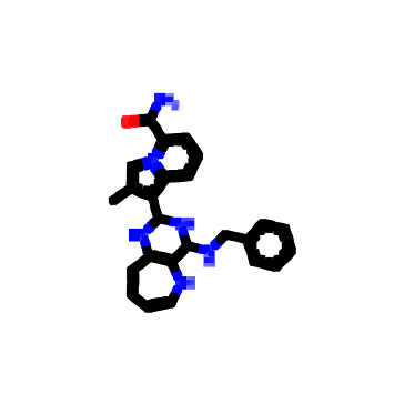 Cc1cn2c(C(N)=O)cccc2c1C1NC2=C(NC=CC=C2)C(NCc2ccccc2)N1